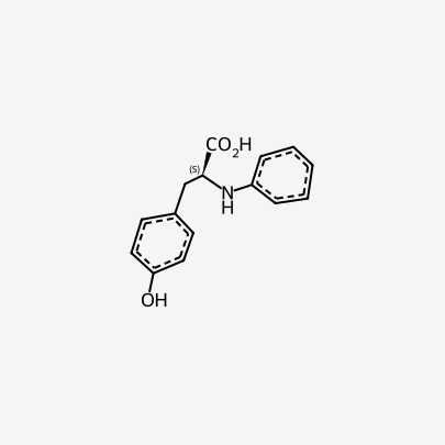 O=C(O)[C@H](Cc1ccc(O)cc1)Nc1ccccc1